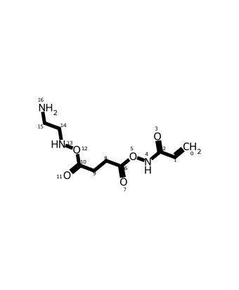 C=CC(=O)NOC(=O)CCC(=O)ONCCN